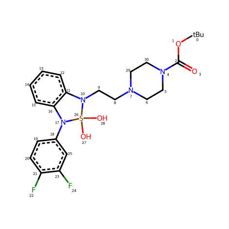 CC(C)(C)OC(=O)N1CCN(CCN2c3ccccc3N(c3ccc(F)c(F)c3)S2(O)O)CC1